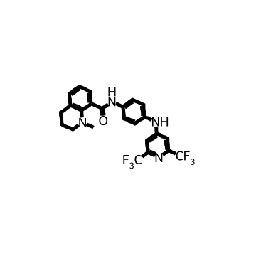 CN1CCCc2cccc(C(=O)Nc3ccc(Nc4cc(C(F)(F)F)nc(C(F)(F)F)c4)cc3)c21